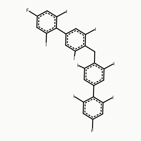 Fc1cc(I)c(-c2cc(I)c(Cc3c(I)cc(-c4c(I)cc(F)cc4I)cc3I)c(I)c2)c(I)c1